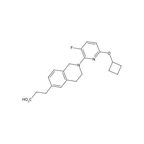 O=C(O)CCc1ccc2c(c1)CCN(c1nc(OC3CCC3)ccc1F)C2